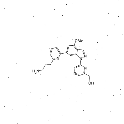 COc1cc(-c2cccc(CCCN)n2)cc2c1cnn2-c1cncc(CO)n1